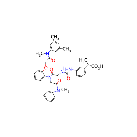 Cc1cc(C)cc(N(C)C(=O)COc2ccccc2N(CC(=O)N(C)c2ccccc2)C(=O)CNC(=O)Nc2cccc(C(C)C(=O)O)c2)c1